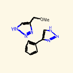 COCc1c[nH]nn1.c1ccc(-c2c[nH]nn2)cc1